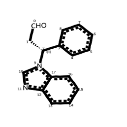 O=CC[C@H](c1ccccc1)n1cnc2ccccc21